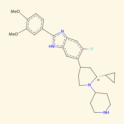 COc1ccc(-c2nc3cc(F)c(C4CCN(C5CCNCC5)[C@@H](C5CC5)C4)cc3[nH]2)cc1OC